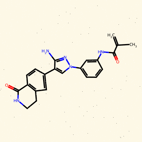 C=C(C)C(=O)Nc1cccc(-n2cc(-c3ccc4c(c3)CCNC4=O)c(N)n2)c1